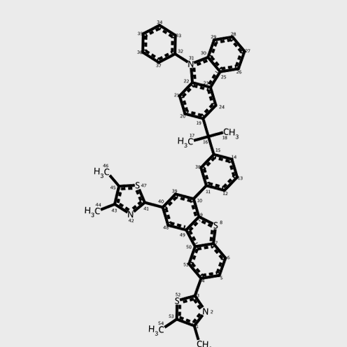 Cc1nc(-c2ccc3sc4c(-c5cccc(C(C)(C)c6ccc7c(c6)c6ccccc6n7-c6ccccc6)c5)cc(-c5nc(C)c(C)s5)cc4c3c2)sc1C